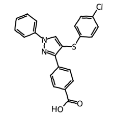 O=C(O)c1ccc(-c2nn(-c3ccccc3)cc2Sc2ccc(Cl)cc2)cc1